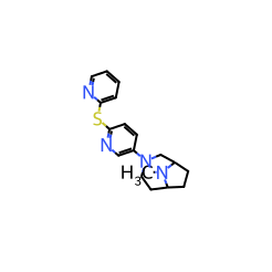 CN1C2CCC1CN(c1ccc(Sc3ccccn3)nc1)CC2